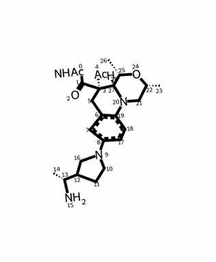 CC(=O)NC(=O)[C@]1(C(C)=O)Cc2cc(N3CCC([C@@H](C)N)C3)ccc2N2C[C@@H](C)O[C@@H](C)[C@@H]21